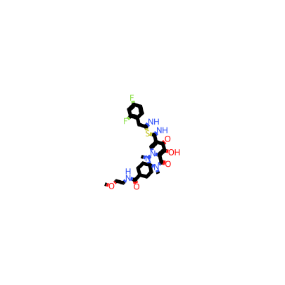 COCCNC(=O)C1CCC2(CC1)N(C)C(=O)c1c(O)c(=O)c(C(=N)SC(=N)Cc3ccc(F)cc3F)cn1N2C